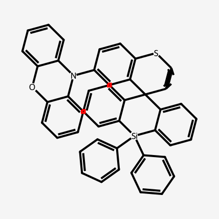 c1ccc([Si]2(c3ccccc3)c3ccccc3C3(c4ccccc4Sc4ccc(N5c6ccccc6Oc6ccccc65)cc43)c3ccccc32)cc1